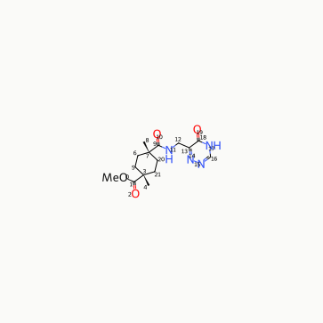 COC(=O)[C@]1(C)CC[C@](C)(C(=O)NCc2nnc[nH]c2=O)CC1